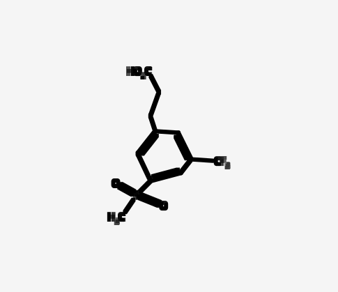 CS(=O)(=O)c1cc(CCC(=O)O)cc(C(F)(F)F)c1